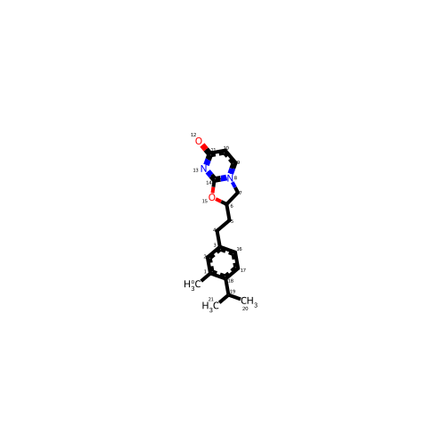 Cc1cc(CCC2Cn3ccc(=O)nc3O2)ccc1C(C)C